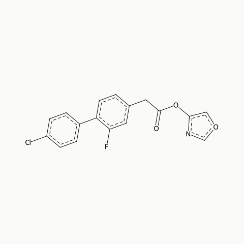 O=C(Cc1ccc(-c2ccc(Cl)cc2)c(F)c1)Oc1cocn1